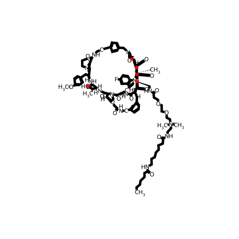 CCCCCCC(=O)NCCCCCCCC(=O)NCC[N+](C)(C)CCOCCOCCC(=O)NC[C@H]1NC(=O)[C@H](C)NC(=O)CCC(=O)N2CCCCCCn3cc(c4cc(F)ccc43)C[C@@H]3NC(=O)[C@H](Cc4cccc(c4)CNC(=O)CO[C@H]4CCN(C3=O)[C@@H]4C(=O)N[C@@H]([C@@H](C)O)C(=O)N[C@@H](Cc3ccc(OC)cc3)C3=C[C@]4(CCCN34)C(=O)NCCc3ccc(cc3)C2)NC1=O